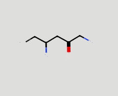 [CH2]C(=O)CC(N)CC(=O)CN